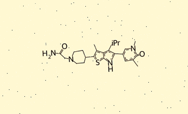 Cc1cc(-c2[nH]c3sc(C4CCN(CC(N)=O)CC4)c(C)c3c2C(C)C)cn(C)c1=O